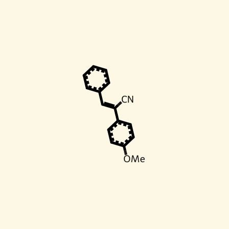 COc1ccc(/C(C#N)=C/c2ccccc2)cc1